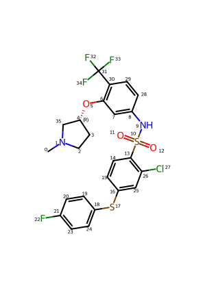 CN1CC[C@@H](Oc2cc(NS(=O)(=O)c3ccc(Sc4ccc(F)cc4)cc3Cl)ccc2C(F)(F)F)C1